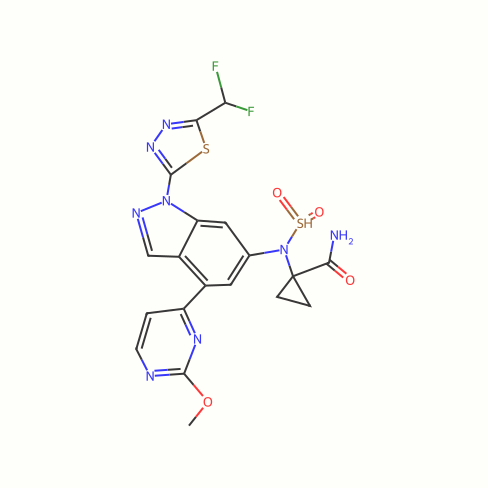 COc1nccc(-c2cc(N([SH](=O)=O)C3(C(N)=O)CC3)cc3c2cnn3-c2nnc(C(F)F)s2)n1